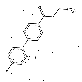 O=C(O)CCC(=O)c1ccc(-c2ccc(F)cc2F)cc1